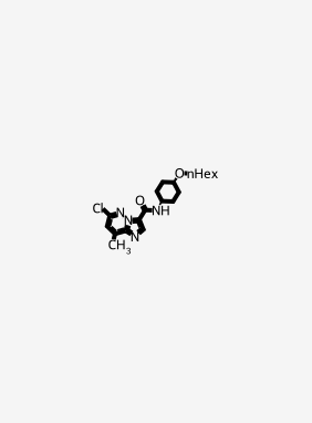 CCCCCCO[C@H]1CC[C@H](NC(=O)c2cnc3c(C)cc(Cl)nn23)CC1